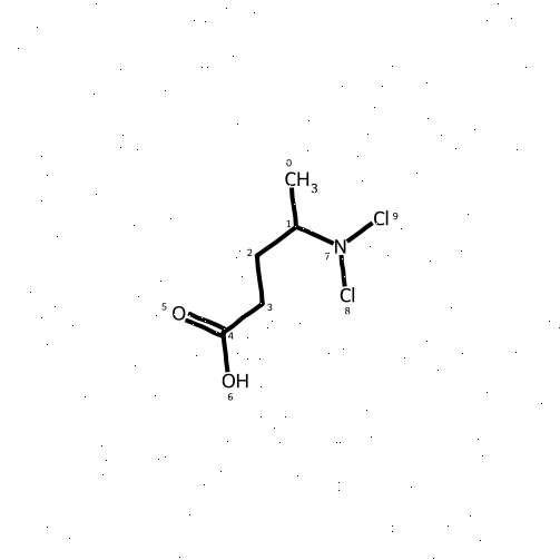 CC(CCC(=O)O)N(Cl)Cl